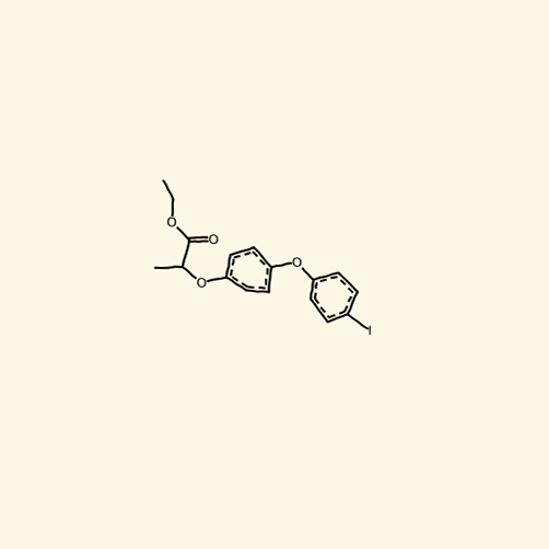 CCOC(=O)C(C)Oc1ccc(Oc2ccc(I)cc2)cc1